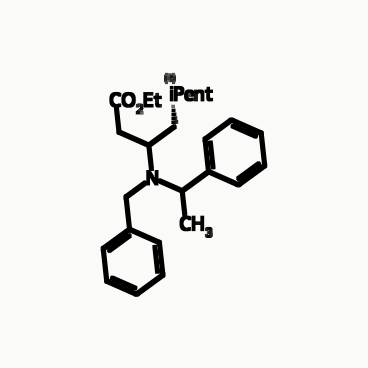 CCC[C@@H](C)CC(CC(=O)OCC)N(Cc1ccccc1)C(C)c1ccccc1